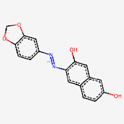 Oc1ccc2cc(/N=N/c3ccc4c(c3)OCO4)c(O)cc2c1